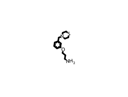 NCCCOc1cccc(CN2CCSCC2)c1